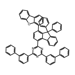 c1ccc(-c2cccc(-c3nc(-c4cccc(-c5ccccc5)c4)nc(-c4ccc(-c5cccc6c5oc5ccccc56)c5c4-c4ccccc4C5(c4ccccc4)c4ccccc4)n3)c2)cc1